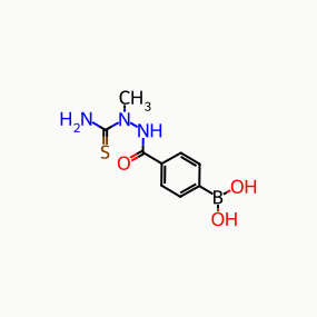 CN(NC(=O)c1ccc(B(O)O)cc1)C(N)=S